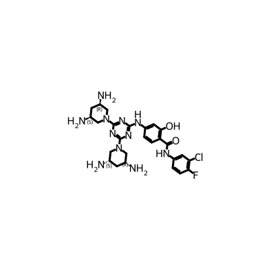 N[C@@H]1C[C@H](N)CN(c2nc(Nc3ccc(C(=O)Nc4ccc(F)c(Cl)c4)c(O)c3)nc(N3C[C@H](N)C[C@H](N)C3)n2)C1